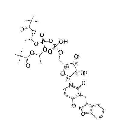 CC(OC(=O)C(C)(C)C)OP(=O)(OC(C)OC(=O)C(C)(C)C)OP(=O)(O)OC[C@H]1O[C@@H](n2ccc(=O)n(Cc3noc4ccccc34)c2=O)[C@@H](O)[C@H]1O